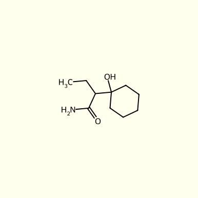 CCC(C(N)=O)C1(O)CCCCC1